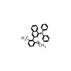 COc1cccc(C)c1-c1cc(N(c2ccccc2)c2ccccc2)c2ccccc2c1